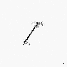 CCCCCCCCCCCCCCCCCCNCCC(N)O